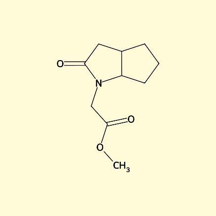 COC(=O)CN1C(=O)CC2CCCC21